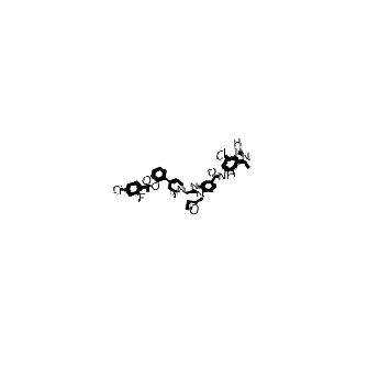 Cc1n[nH]c2c(Cl)cc(NC(=O)c3ccc4c(c3)nc(CN3CC=C(c5cccc6c5OC(C)(c5ccc(Cl)cc5F)O6)C[C@@H]3C)n4CC3CCO3)cc12